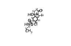 CCCNS(=O)(=O)c1cc(C2(O)CCC(=O)N2CI)ccc1Cl